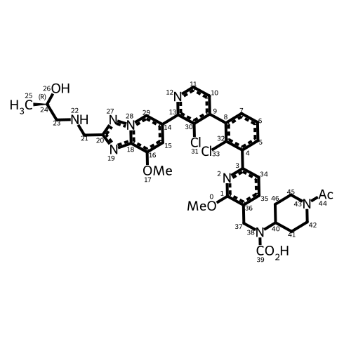 COc1nc(-c2cccc(-c3ccnc(-c4cc(OC)c5nc(CNC[C@@H](C)O)nn5c4)c3Cl)c2Cl)ccc1CN(C(=O)O)C1CCN(C(C)=O)CC1